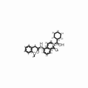 COc1ccccc1CC(=O)Nc1cccc2c(=O)n(C(O)C3CCCCC3)ccc12